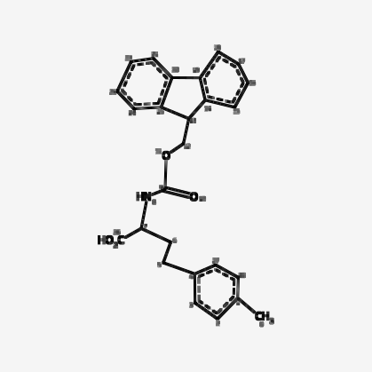 Cc1ccc(CCC(NC(=O)OCC2c3ccccc3-c3ccccc32)C(=O)O)cc1